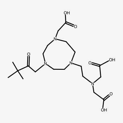 CC(C)(C)C(=O)CN1CCN(CCN(CC(=O)O)CC(=O)O)CCN(CC(=O)O)CC1